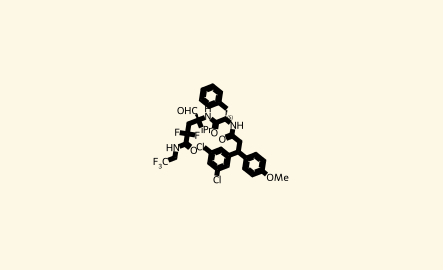 COc1ccc(C(CC(=O)N[C@@H](Cc2ccccc2)C(=O)N[C@@](C=O)(CC(F)(F)C(=O)NCC(F)(F)F)C(C)C)c2cc(Cl)cc(Cl)c2)cc1